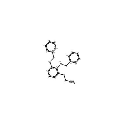 NCCc1cccc(OCc2ccccc2)c1OCc1ccccc1